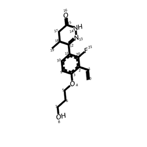 C=Cc1c(OCCCO)ccc(C2=NNC(=O)CC2C)c1F